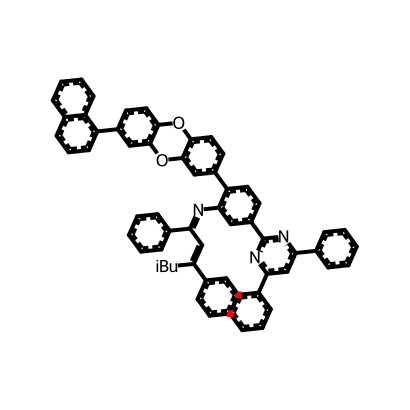 CCC(C)/C(=C\C(=N/c1cc(-c2nc(-c3ccccc3)cc(-c3ccccc3)n2)ccc1-c1ccc2c(c1)Oc1cc(-c3cccc4ccccc34)ccc1O2)c1ccccc1)c1ccccc1